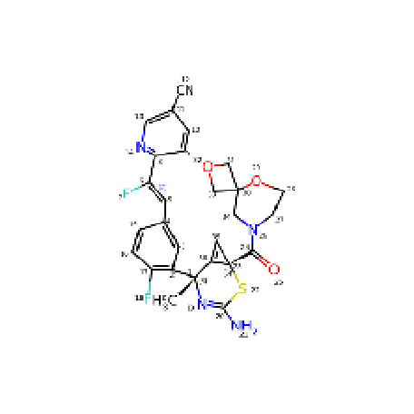 C[C@]1(c2cc(/C=C(\F)c3ccc(C#N)cn3)ccc2F)N=C(N)S[C@@]2(C(=O)N3CCOC4(COC4)C3)C=C21